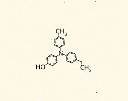 CCc1ccc(N(c2ccc(C)cc2)c2ccc(O)cc2)cc1